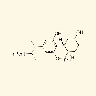 CCCCCC(C)C(C)c1cc(O)c2c(c1)OC(C)(C)[C@@H]1CCC(O)C[C@@H]21